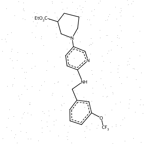 CCOC(=O)C1CCCN(c2ccc(NCc3cccc(OC(F)(F)F)c3)nc2)C1